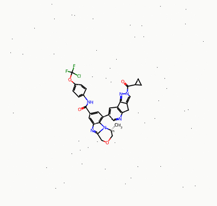 C[C@@H]1COCc2nc3cc(C(=O)Nc4ccc(OC(F)(F)Cl)cc4)cc(-c4cnc5c(c4)-c4nn(C(=O)C6CC6)cc4C5)c3n21